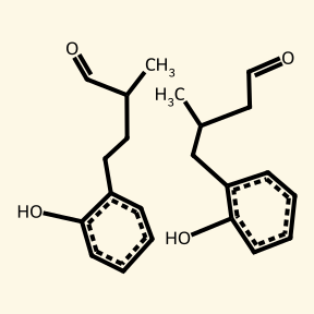 CC(C=O)CCc1ccccc1O.CC(CC=O)Cc1ccccc1O